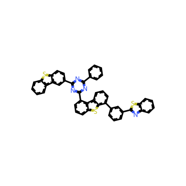 c1ccc(-c2nc(-c3ccc4sc5ccccc5c4c3)nc(-c3cccc4sc5c(-c6cccc(-c7nc8ccccc8s7)c6)cccc5c34)n2)cc1